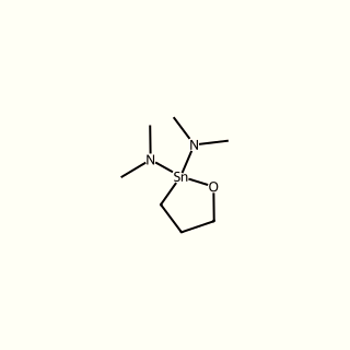 C[N](C)[Sn]1([N](C)C)[CH2]CC[O]1